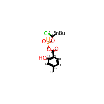 CCCCC(Cl)O[PH](=O)OC(=O)c1ccc(C)cc1O